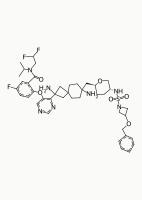 CC(C)N(CC(F)F)C(=O)c1cc(F)ccc1Oc1cncnc1C1(N)CC2(CCC(N)(C[C@@H]3CC[C@@H](NS(=O)(=O)N4CC(OCc5ccccc5)C4)CO3)CC2)C1